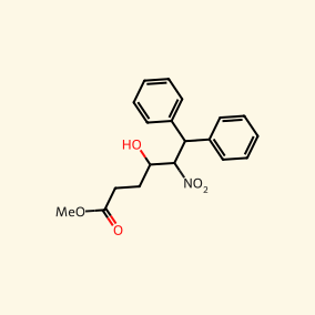 COC(=O)CCC(O)C(C(c1ccccc1)c1ccccc1)[N+](=O)[O-]